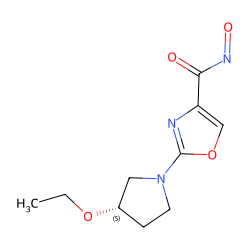 CCO[C@H]1CCN(c2nc(C(=O)N=O)co2)C1